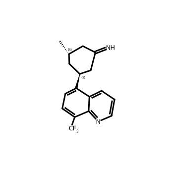 C[C@@H]1CC(=N)C[C@@H](c2ccc(C(F)(F)F)c3ncccc23)C1